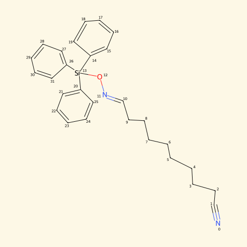 N#CCCCCCCCCC=NO[Si](c1ccccc1)(c1ccccc1)c1ccccc1